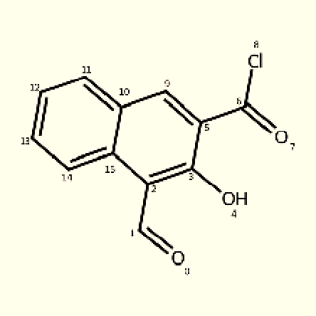 O=Cc1c(O)c(C(=O)Cl)cc2ccccc12